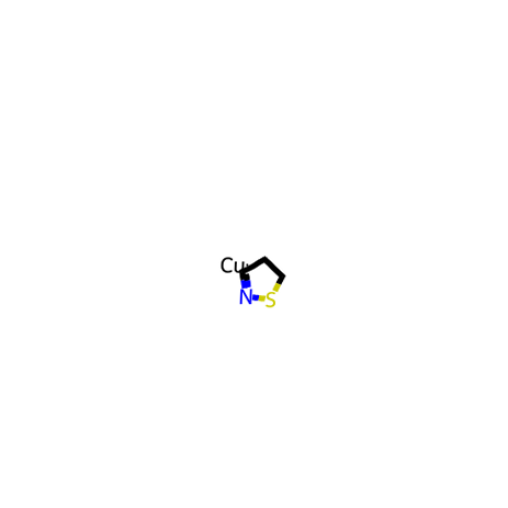 C1=NSCC1.[Cu]